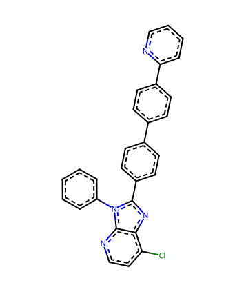 Clc1ccnc2c1nc(-c1ccc(-c3ccc(-c4ccccn4)cc3)cc1)n2-c1ccccc1